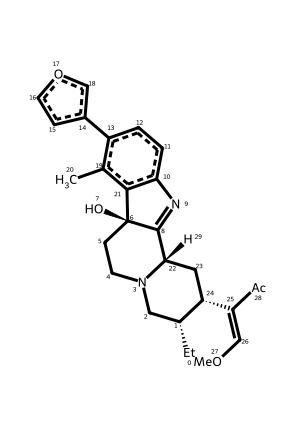 CC[C@@H]1CN2CC[C@@]3(O)C(=Nc4ccc(-c5ccoc5)c(C)c43)[C@@H]2C[C@@H]1/C(=C\OC)C(C)=O